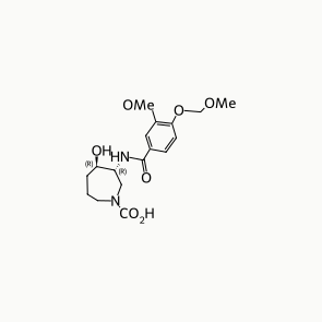 COCOc1ccc(C(=O)N[C@@H]2CN(C(=O)O)CCC[C@H]2O)cc1OC